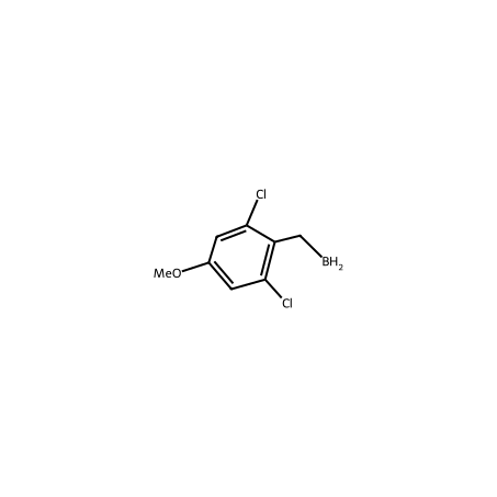 BCc1c(Cl)cc(OC)cc1Cl